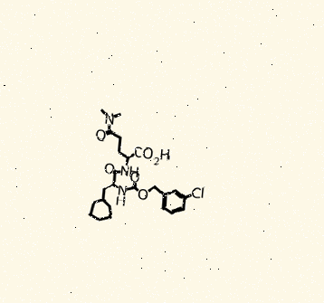 CN(C)C(=O)CC[C@H](NC(=O)[C@H](CC1CCCCC1)NC(=O)OCc1cccc(Cl)c1)C(=O)O